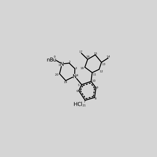 CCCCN1CCN(c2ccccc2C2CC(C)CC(C)C2)CC1.Cl